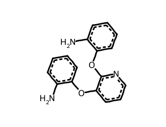 Nc1ccccc1Oc1cccnc1Oc1ccccc1N